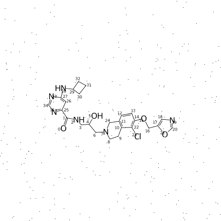 O=C(NCC(O)CN1CCc2c(ccc(OCc3cnco3)c2Cl)C1)c1cc(NC2CCC2)ncn1